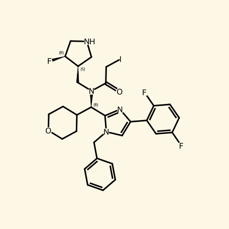 O=C(CI)N(C[C@@H]1CNC[C@@H]1F)[C@@H](c1nc(-c2cc(F)ccc2F)cn1Cc1ccccc1)C1CCOCC1